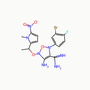 CC(ON1ON(c2ccc(F)c(Br)c2)C(C(=N)N)=C1N)c1ccc([N+](=O)[O-])n1C